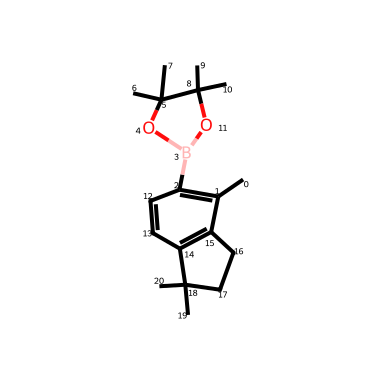 Cc1c(B2OC(C)(C)C(C)(C)O2)ccc2c1CCC2(C)C